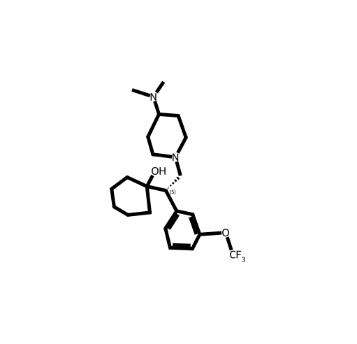 CN(C)C1CCN(C[C@H](c2cccc(OC(F)(F)F)c2)C2(O)CCCCC2)CC1